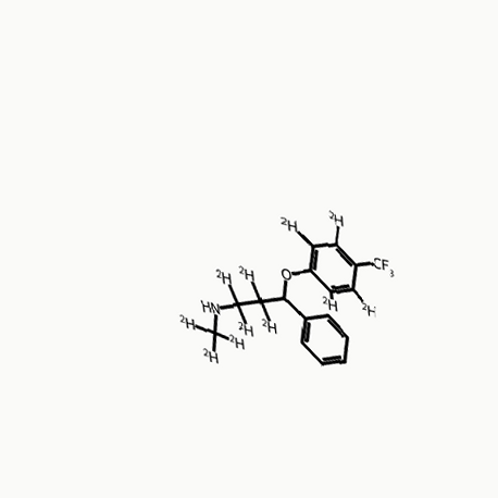 [2H]c1c([2H])c(C(F)(F)F)c([2H])c([2H])c1OC(c1ccccc1)C([2H])([2H])C([2H])([2H])NC([2H])([2H])[2H]